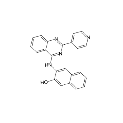 Oc1cc2ccccc2cc1Nc1nc(-c2ccncc2)nc2ccccc12